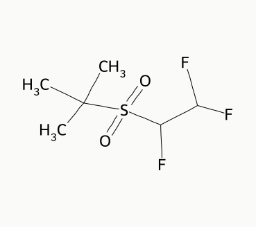 CC(C)(C)S(=O)(=O)C(F)C(F)F